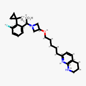 CC1(c2c(F)cccc2C(C(=O)O)N2CC(OCCCCCc3ccc4c(n3)NCCC4)C2)CC1